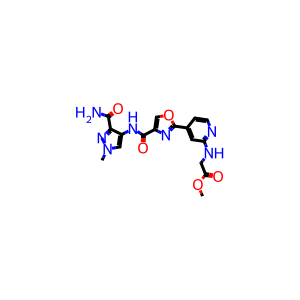 COC(=O)CNc1cc(-c2nc(C(=O)Nc3cn(C)nc3C(N)=O)co2)ccn1